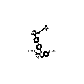 CCOC(=O)c1nnn(Cc2ccc(OC)cc2)c1O[C@H]1CC[C@H](c2ccc(-c3nncn3COCC[Si](C)(C)C)cc2)CC1